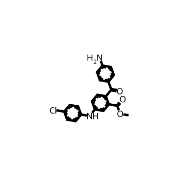 COC(=O)c1cc(Nc2ccc(Cl)cc2)ccc1C(=O)c1ccc(N)cc1